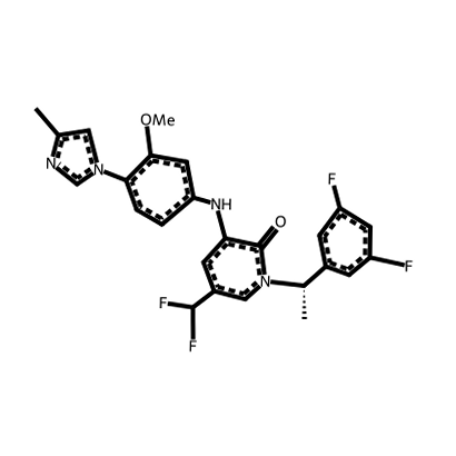 COc1cc(Nc2cc(C(F)F)cn([C@@H](C)c3cc(F)cc(F)c3)c2=O)ccc1-n1cnc(C)c1